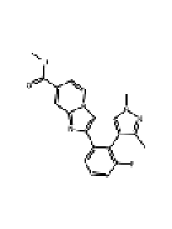 COC(=O)c1ccn2cc(-c3cccc(F)c3-c3cn(C)nc3C)nc2c1